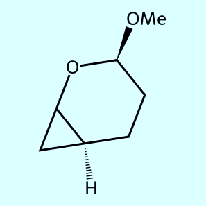 CO[C@H]1CC[C@H]2CC2O1